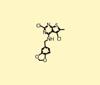 Cc1sc2nc(Cl)nc(NCc3ccc4c(c3)OCO4)c2c1Cl